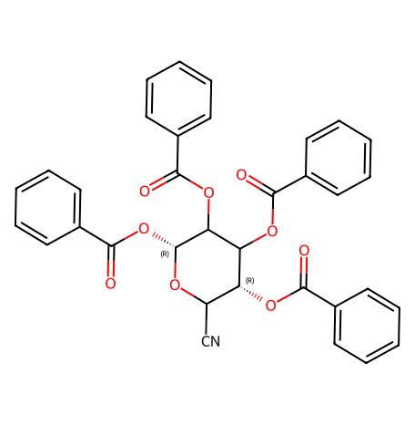 N#CC1O[C@H](OC(=O)c2ccccc2)C(OC(=O)c2ccccc2)C(OC(=O)c2ccccc2)[C@@H]1OC(=O)c1ccccc1